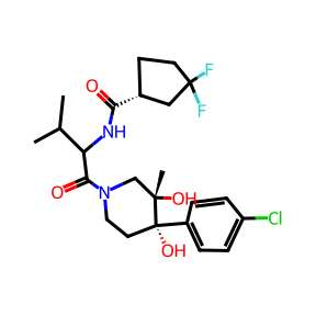 CC(C)C(NC(=O)[C@@H]1CCC(F)(F)C1)C(=O)N1CC[C@](O)(c2ccc(Cl)cc2)[C@@](C)(O)C1